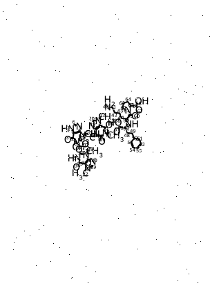 Cn1c(=O)c2[nH]cnc2n(C)c1=O.Cn1c(=O)c2c(ncn2C)n(C)c1=O.Cn1cnc2c1c(=O)[nH]c(=O)n2C.NCCCC[C@H](N[C@@H](CCc1ccccc1)C(=O)O)C(=O)N1CCC[C@H]1C(=O)O